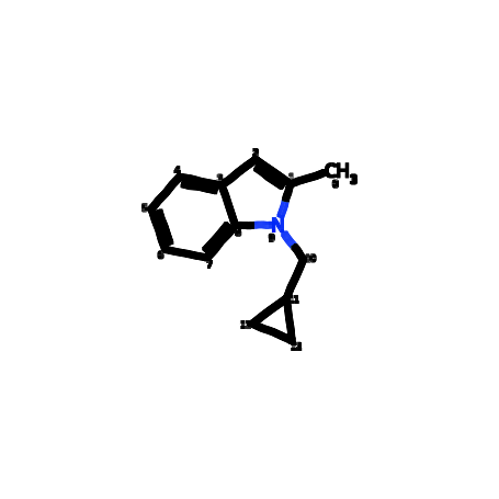 Cc1cc2ccccc2n1CC1CC1